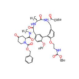 CCCOc1ccc2cc1-c1cc(ccc1OCCNC(=O)OC(C)(C)C)C[C@@H](C(=O)OC)NC(=O)[C@H](C)NC(=O)[C@H]2N(C)C(=O)[C@@H]1CC(=O)CCN1C(=O)OCc1ccccc1